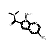 CN(C)C(=O)c1cc2cc([N+](=O)[O-])cnc2n1C(=O)O